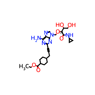 CCOC(=O)C1CCC(CC#Cc2nc(N)c3ncn(CO[C@H](C(=O)NC4CC4)C(O)CO)c3n2)CC1